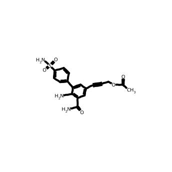 CC(=O)OCC#Cc1cc(C(N)=O)c(N)c(-c2ccc(S(N)(=O)=O)cc2)c1